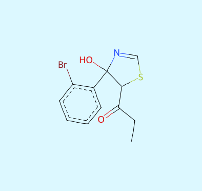 CCC(=O)C1SC=NC1(O)c1ccccc1Br